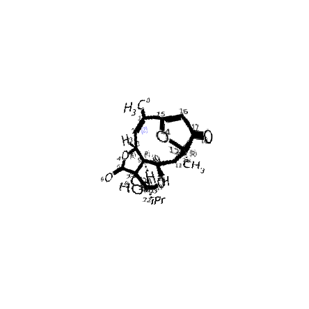 C/C1=C/[C@H]2OC(=O)[C@@]3(C)[C@@H]2[C@H](C[C@@]2(C)OC1=CC2=O)O[C@]3(O)C(C)C